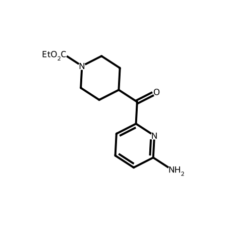 CCOC(=O)N1CCC(C(=O)c2cccc(N)n2)CC1